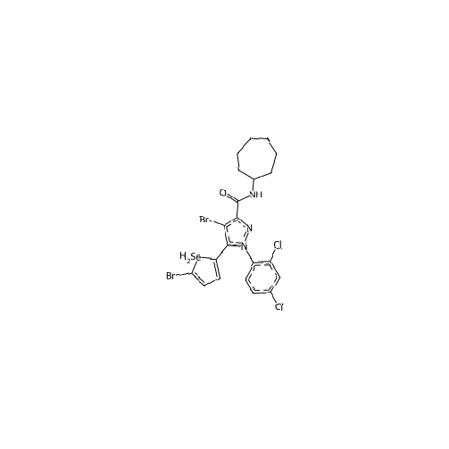 O=C(NC1CCCCCC1)c1nn(-c2ccc(Cl)cc2Cl)c(C2=CC=C(Br)[SeH2]2)c1Br